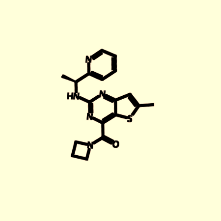 Cc1cc2nc(N[C@@H](C)c3ccccn3)nc(C(=O)N3CCC3)c2s1